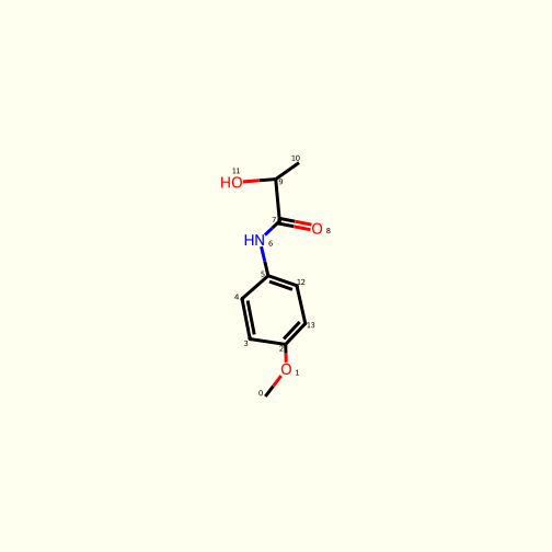 COc1ccc(NC(=O)C(C)O)cc1